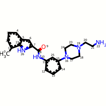 Cc1cccc2cc(C(=O)Nc3cccc(N4CCN(CCN)CC4)c3)[nH]c12